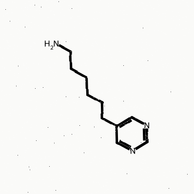 NCCCCCCc1cncnc1